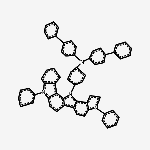 c1ccc(-c2ccc(N(c3ccc(-c4ccccc4)cc3)c3ccc(-n4c5c(ccc6c5ccn6-c5ccccc5)c5ccc6c(c7ccccc7n6-c6ccccc6)c54)cc3)cc2)cc1